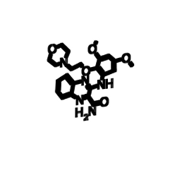 COc1cc(Nc2nc3ccccc3nc2C(N)=O)c(OCCN2CCOCC2)c(OC)c1